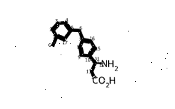 Cc1cccc(Cc2ccc([C@@H](N)CC(=O)O)cc2)c1